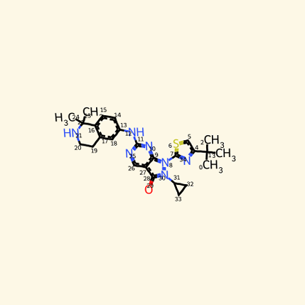 CC(C)(C)c1csc(-n2c3nc(Nc4ccc5c(c4)CCNC5(C)C)ncc3c(=O)n2C2CC2)n1